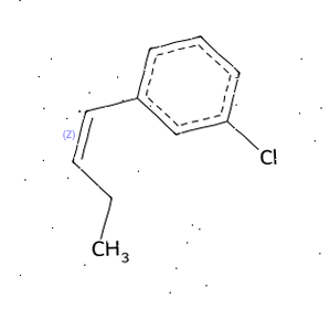 CC/C=[C]\c1cccc(Cl)c1